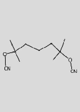 CC(C)(CCCC(C)(C)OC#N)OC#N